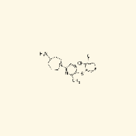 Cc1nc(N2CCCC(N)CC2)cnc1Sc1cccc(Cl)c1Cl